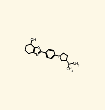 CN(C)[C@@H]1CCN(c2ccc(-c3nc4c(s3)C(O)CCC4)cc2)C1